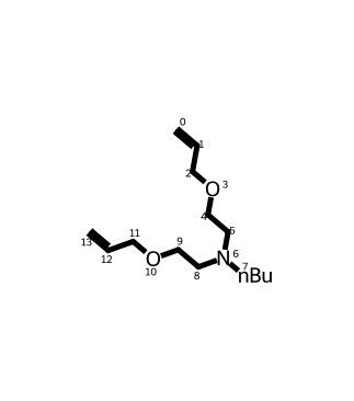 C=CCOCCN(CCCC)CCOCC=C